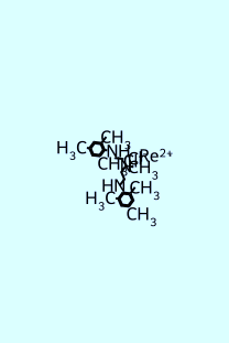 Cc1cc(C)c(NCCN(C)CCNc2c(C)cc(C)cc2C)c(C)c1.[Cl-].[Cl-].[Re+2]